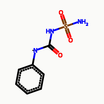 NS(=O)(=O)NC(=O)[N]c1ccccc1